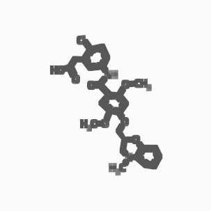 COc1cc(C(=O)Nc2ccc(Cl)c(CC(=O)O)c2)c(OC)cc1OC[C@@H]1CN(C)c2ccccc2O1